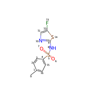 Cc1ccc(S(=O)(=O)Nc2ncc(F)s2)cc1